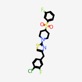 O=S(=O)(c1cccc(F)c1)C1CCN(c2nc(Cc3ccc(Cl)c(F)c3)cs2)CC1